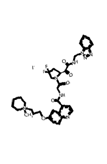 C[N+]1(CCCOc2ccc3nccc(C(=O)NCC(=O)N4CC(F)(F)C[C@H]4C(=O)C(=O)NCn4nnc5ccccc54)c3c2)CCCCC1.[I-]